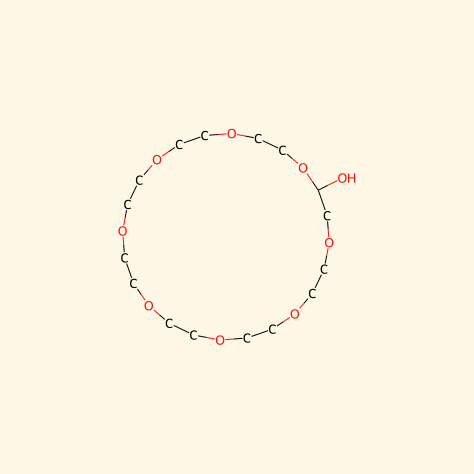 OC1COCCOCCOCCOCCOCCOCCOCCO1